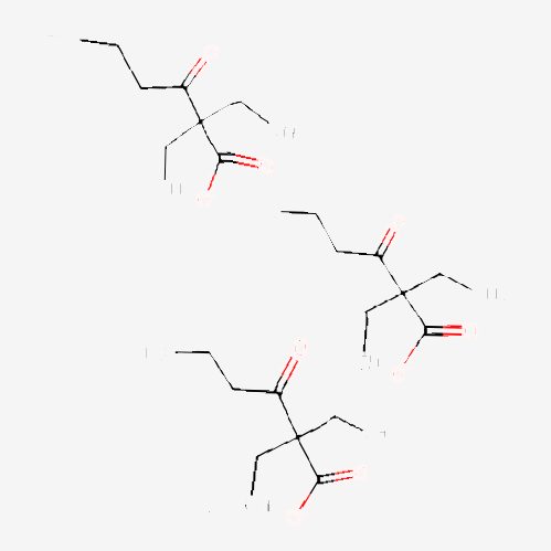 CCCC(=O)C(CC)(CC)C(=O)[O-].CCCC(=O)C(CC)(CC)C(=O)[O-].CCCC(=O)C(CC)(CC)C(=O)[O-].[V+3]